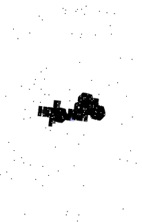 O=C(CN1c2ccccc2Sc2ccccc21)N/N=C/c1cc(F)c(O)c(F)c1